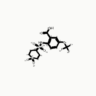 O=C(O)c1cc(OC(F)(F)F)ccc1NS(=O)(=O)C1CCS(=O)(=O)CC1